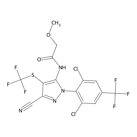 COCC(=O)Nc1c(SC(F)(F)F)c(C#N)nn1-c1c(Cl)cc(C(F)(F)F)cc1Cl